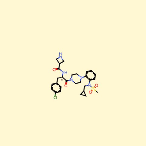 CS(=O)(=O)N(CC1CC1)c1ccccc1N1CCN(C(=O)[C@@H](Cc2ccc(Cl)cc2)NC(=O)C2CNC2)CC1